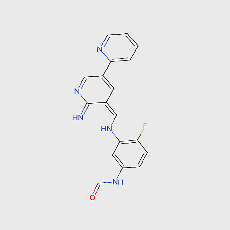 N=C1N=CC(c2ccccn2)=C/C1=C/Nc1cc(NC=O)ccc1F